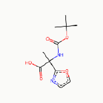 CC(C)(C)OC(=O)NC(C)(C(=O)O)c1ncco1